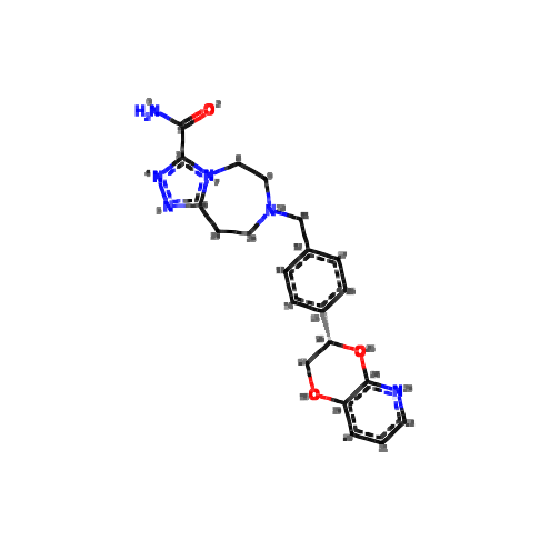 NC(=O)c1nnc2n1CCN(Cc1ccc([C@H]3COc4cccnc4O3)cc1)CC2